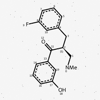 CNC[C@H](Cc1cccc(F)c1)C(=O)c1cccc(O)c1